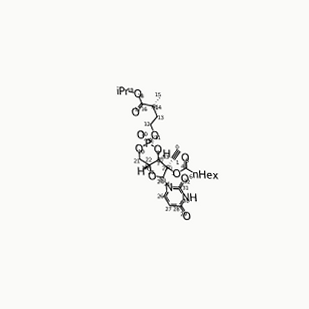 C#C[C@@]1(OC(=O)CCCCCC)[C@@H]2O[P@@](=O)(OCC[C@@H](C)C(=O)OC(C)C)OC[C@H]2O[C@H]1n1ccc(=O)[nH]c1=O